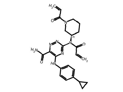 C=CC(=O)N1CCC[C@@H](N(C(=O)C=C)c2nnc(C(N)=O)c(Nc3ccc(C4CC4)cc3)n2)C1